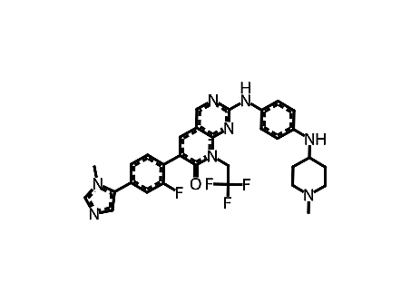 CN1CCC(Nc2ccc(Nc3ncc4cc(-c5ccc(-c6cncn6C)cc5F)c(=O)n(CC(F)(F)F)c4n3)cc2)CC1